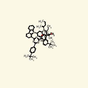 C=C(/C=C\C)N1C(CC)=C(CC)B2c3cc(C(C)(C)C)ccc3Oc3cc(-n4c5ccccc5c5cccc(-c6nc(-c7ccc(C(C)(C)C)cc7)nc(-c7ccc(C(C)(C)C)cc7)n6)c54)cc1c32